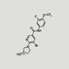 O=C(Nc1ccc(OC(F)(F)F)c(F)c1)c1cnc(N2CC[C@@H](O)C2)c(Br)c1